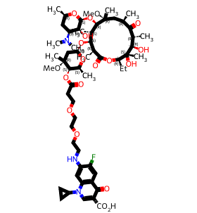 CC[C@H]1OC(=O)[C@H](C)[C@@H](O[C@H]2C[C@@](C)(OC)[C@@H](OC(=O)CCOCCOCCNc3cc4c(cc3F)c(=O)c(C(=O)O)cn4C3CC3)[C@H](C)O2)[C@H](C)[C@@H](O[C@@H]2O[C@H](C)C[C@H](N(C)C)[C@H]2O)[C@](C)(OC)C[C@@H](C)C(=O)[C@H](C)[C@@H](O)[C@]1(C)O